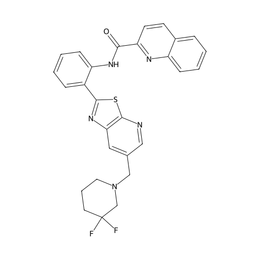 O=C(Nc1ccccc1-c1nc2cc(CN3CCCC(F)(F)C3)cnc2s1)c1ccc2ccccc2n1